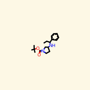 CCC(NC1CCN(C(=O)OC(C)(C)C)C1)c1ccccc1